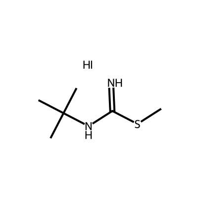 CSC(=N)NC(C)(C)C.I